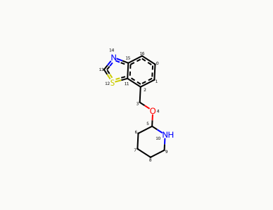 c1cc(COC2CCCCN2)c2scnc2c1